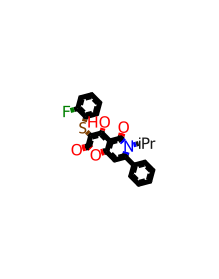 CC(C)n1c(-c2ccccc2)cc2oc(=O)c(Sc3ccccc3F)c(O)c2c1=O